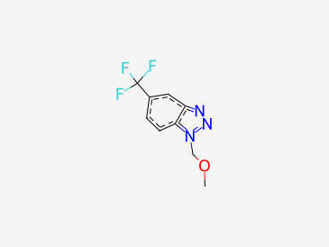 COCn1nnc2cc(C(F)(F)F)ccc21